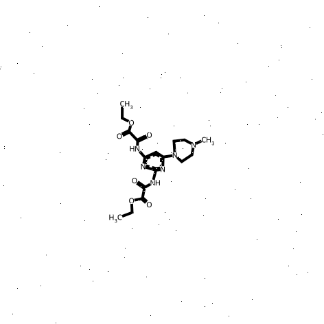 CCOC(=O)C(=O)Nc1cc(N2CCN(C)CC2)nc(NC(=O)C(=O)OCC)n1